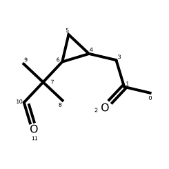 CC(=O)CC1CC1C(C)(C)C=O